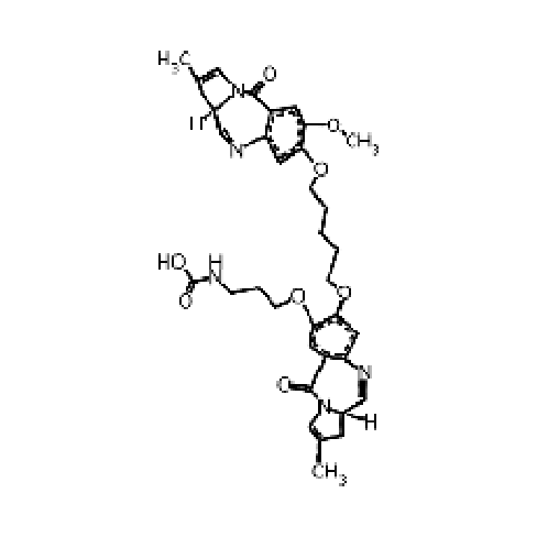 COc1cc2c(cc1OCCCCCOc1cc3c(cc1OCCCNC(=O)O)C(=O)N1C=C(C)C[C@H]1C=N3)N=C[C@@H]1CC(C)=CN1C2=O